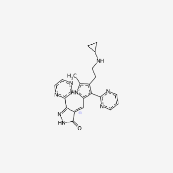 Cc1[nH]c(/C=C2/C(=O)NN=C2c2cnccn2)c(-c2ncccn2)c1CCNC1CC1